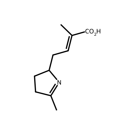 CC1=NC(C/C=C(\C)C(=O)O)CC1